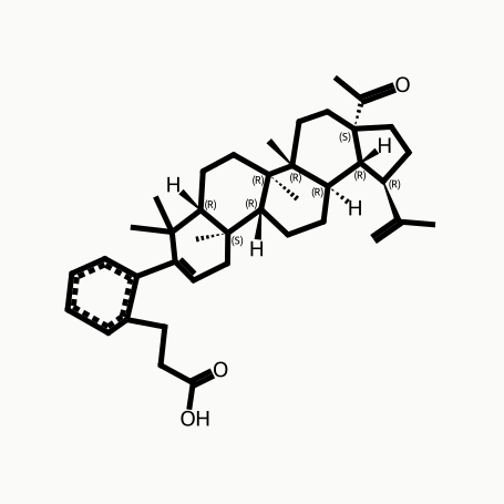 C=C(C)[C@@H]1CC[C@]2(C(C)=O)CC[C@]3(C)[C@H](CC[C@@H]4[C@@]5(C)CC=C(c6ccccc6CCC(=O)O)C(C)(C)[C@@H]5CC[C@]43C)[C@@H]12